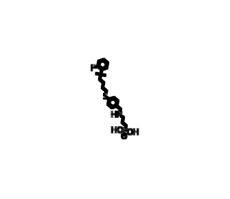 CC(C)(CCCCSc1ccc(CNCCCP(=O)(O)O)cc1)c1ccccc1F